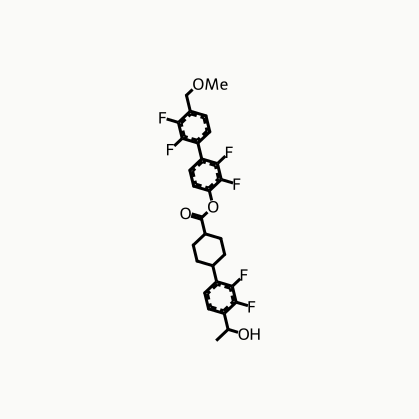 COCc1ccc(-c2ccc(OC(=O)C3CCC(c4ccc(C(C)O)c(F)c4F)CC3)c(F)c2F)c(F)c1F